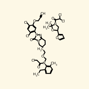 C#CCOc1cc(-n2nc3n(c2=O)CCCC3)c(Cl)cc1Cl.CC1(C)OC(c2ccco2)CN1C(=O)C(Cl)Cl.CCOCN(C(=O)CCl)c1c(C)cccc1CC